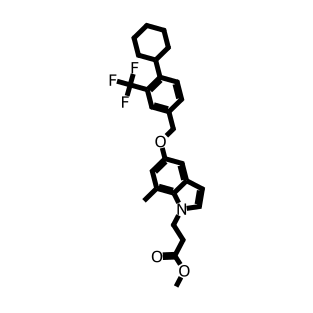 COC(=O)CCn1ccc2cc(OCc3ccc(C4CCCCC4)c(C(F)(F)F)c3)cc(C)c21